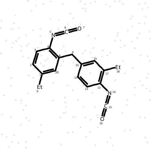 CCc1ccc(N=C=O)c(Cc2ccc(N=C=O)c(CC)c2)c1